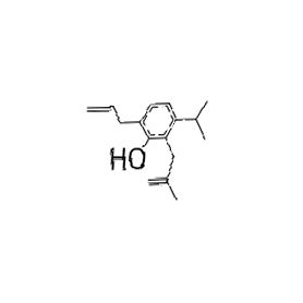 C=CCc1ccc(C(C)C)c(CC(=C)C)c1O